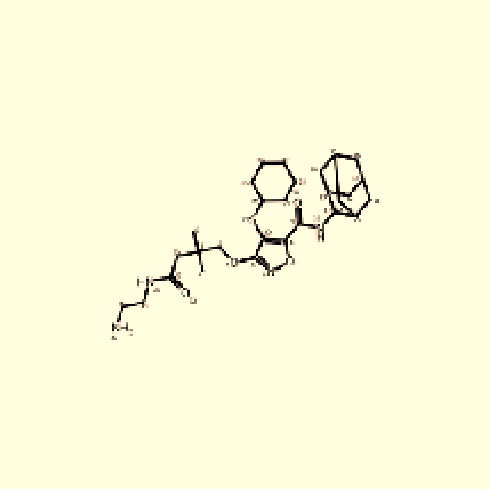 CC(C)(COc1noc(C(=O)NC2C3CC4CC(C3)CC2C4)c1SC1CCCCC1)CC(=O)NCCN